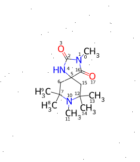 CN1C(=O)NC2(CC(C)(C)N(C)C(C)(C)C2)C1=O